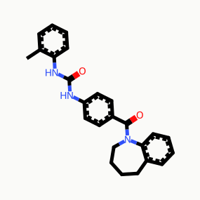 Cc1ccccc1NC(=O)Nc1ccc(C(=O)N2CCCCc3ccccc32)cc1